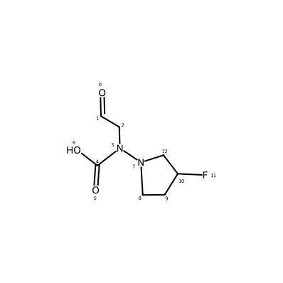 O=CCN(C(=O)O)N1CCC(F)C1